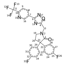 O=C1N(Cc2nc(-c3ccc(C(F)(F)F)nc3)no2)CCC1(c1ccc(F)cc1)c1ccc(F)cc1